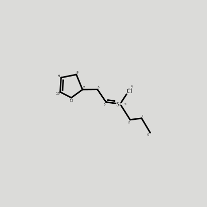 CCC[Si](Cl)=CCC1CC=CC1